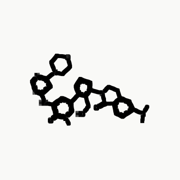 CN(C)c1ccc2c(c1)CCN(c1cccc(-c3cc(Nc4cc(N5CCOCC5)ncn4)c(=O)n(C)c3)c1CO)C2=O